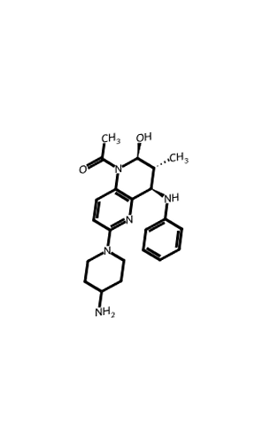 CC(=O)N1c2ccc(N3CCC(N)CC3)nc2[C@H](Nc2ccccc2)[C@@H](C)[C@@H]1O